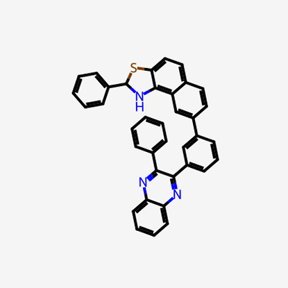 c1ccc(-c2nc3ccccc3nc2-c2cccc(-c3ccc4ccc5c(c4c3)NC(c3ccccc3)S5)c2)cc1